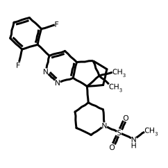 CNS(=O)(=O)N1CCCC(C23CCC(c4cc(-c5c(F)cccc5F)nnc42)C3(C)C)C1